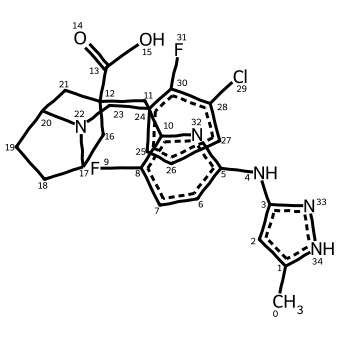 Cc1cc(Nc2ccc(F)c(CC3(C(=O)O)CC4CCC(C3)N4Cc3cccc(Cl)c3F)n2)n[nH]1